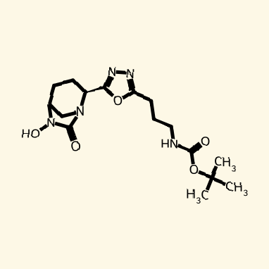 CC(C)(C)OC(=O)NCCCc1nnc([C@@H]2CCC3CN2C(=O)N3O)o1